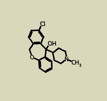 CN1CCC(C2(O)c3cc(Cl)ccc3COc3ccccc32)CC1